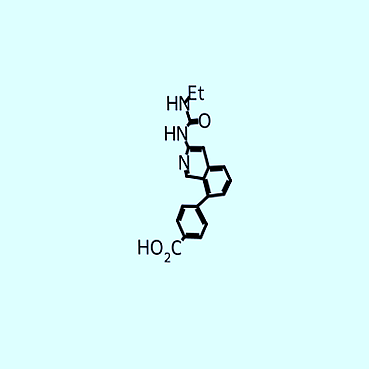 CCNC(=O)Nc1cc2cccc(-c3ccc(C(=O)O)cc3)c2cn1